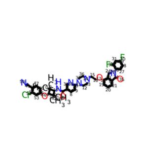 CC1(C)[C@H](NC(=O)c2ccc(N3CCN(CCOc4cccc5c4CN(c4ccc(F)cc4F)C5=O)CC3)nc2)C(C)(C)[C@H]1Oc1ccc(C#N)c(Cl)c1